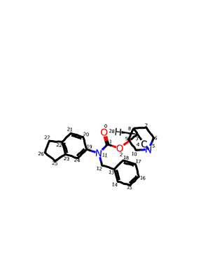 O=C(O[C@H]1CN2CCC1CC2)N(Cc1ccccc1)c1ccc2c(c1)CCC2